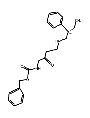 CC[C@H](CNCCC(=O)CNC(=O)OCc1ccccc1)c1ccccc1